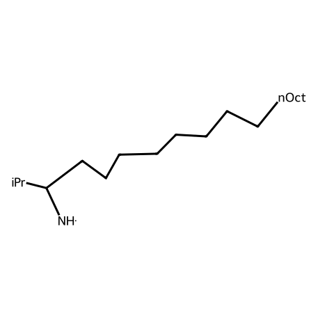 CCCCCCCCCCCCCCCCC([NH])C(C)C